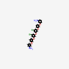 Nc1cccc(Oc2cccc(Oc3cc(Br)cc(Oc4cc(Br)cc(Oc5cccc(Oc6cccc(N)c6)c5)c4)c3)c2)c1